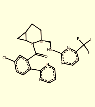 O=C(c1cc(Cl)ccc1-c1ncccn1)N1C2CC2CC[C@H]1CNc1nccc(C(F)(F)F)n1